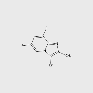 Cc1nc2c(F)cc(F)cn2c1Br